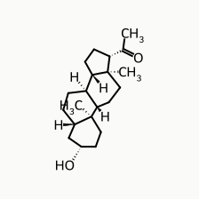 CC(=O)[C@H]1CC[C@H]2[C@@H]3CC[C@H]4C[C@@H](O)CC[C@]4(C)[C@H]3CC[C@]12C